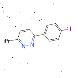 CC(C)c1ccc(-c2ccc(I)cc2)nn1